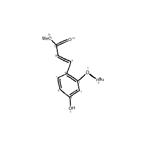 CCCCOc1cc(O)ccc1C=CC(=O)OC